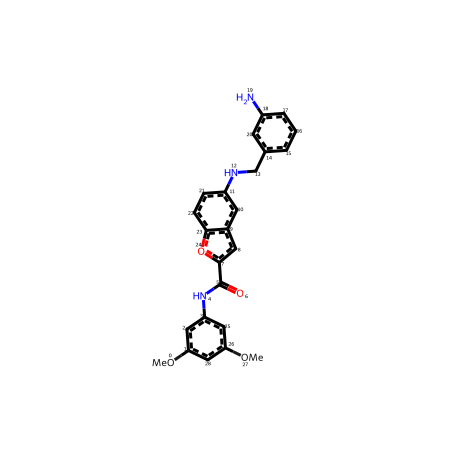 COc1cc(NC(=O)c2cc3cc(NCc4cccc(N)c4)ccc3o2)cc(OC)c1